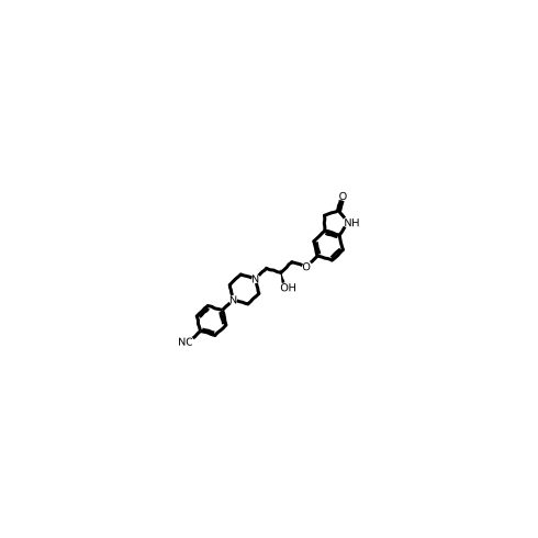 N#Cc1ccc(N2CCN(C[C@H](O)COc3ccc4c(c3)CC(=O)N4)CC2)cc1